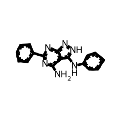 Nc1nc(-c2ccccc2)nc2n[nH]c(Nc3ccccc3)c12